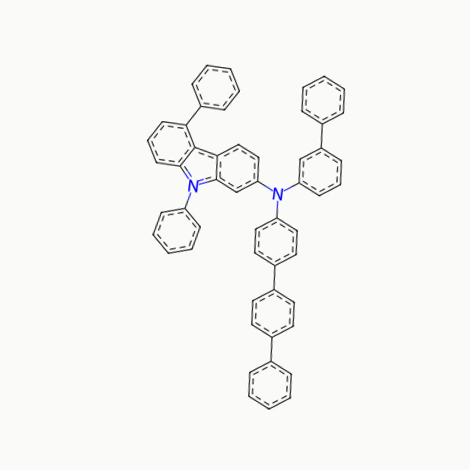 c1ccc(-c2ccc(-c3ccc(N(c4cccc(-c5ccccc5)c4)c4ccc5c6c(-c7ccccc7)cccc6n(-c6ccccc6)c5c4)cc3)cc2)cc1